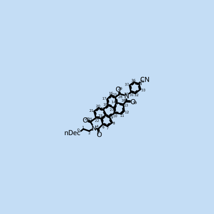 CCCCCCCCCCCCN1C(=O)c2ccc3c4ccc5c6c(ccc(c7ccc(c2c37)C1=O)c64)C(=O)N(c1ccc(C#N)cc1)C5=O